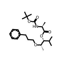 CC(C)[C@@H](OC(=O)[C@H](C)NC(=O)OC(C)(C)C)[C@H](C)OCCCc1ccccc1